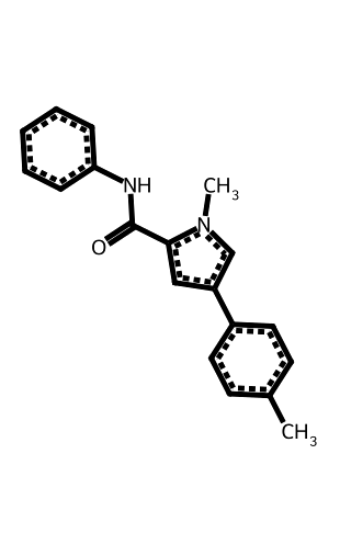 Cc1ccc(-c2cc(C(=O)Nc3ccccc3)n(C)c2)cc1